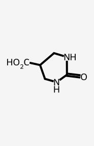 O=C1NCC(C(=O)O)CN1